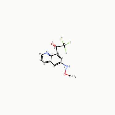 CONc1cc(C(=O)C(F)(F)F)c2ncccc2c1